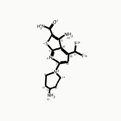 NC(=O)c1sc2nc(N3CCC(N)CC3)cc(C(F)F)c2c1N